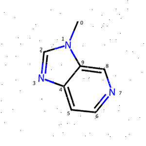 Cn1[c]nc2ccncc21